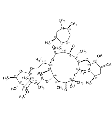 C=C1C[C@@H](C)O[C@@H](O[C@@H]2[C@@H](C)[C@H](O[C@H]3C[C@H](C)N(C)C[C@H](C)O3)[C@@H](C)C(=O)O[C@H]([C@@H](C)CO[C@@H]3O[C@H](C)[C@@H](O)[C@@H](OC)[C@H]3OC)[C@H](C)[C@@H](OC(=O)CC(C)C)[C@@H](C)C(=O)[C@@](C)(O)C[C@@H]2C)[C@@H]1O